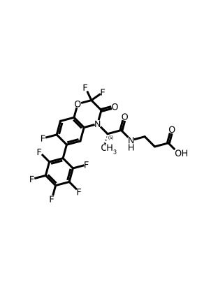 C[C@@H](C(=O)NCCC(=O)O)N1C(=O)C(F)(F)Oc2cc(F)c(-c3c(F)c(F)c(F)c(F)c3F)cc21